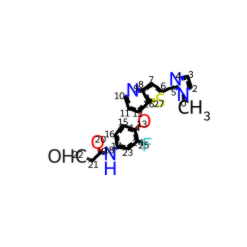 Cn1ccnc1-c1cc2nccc(Oc3ccc(NC(=O)CC=O)cc3F)c2s1